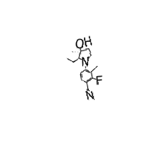 CC[C@@H]1N(c2ccc(C#N)c(F)c2C)CC[C@]1(C)O